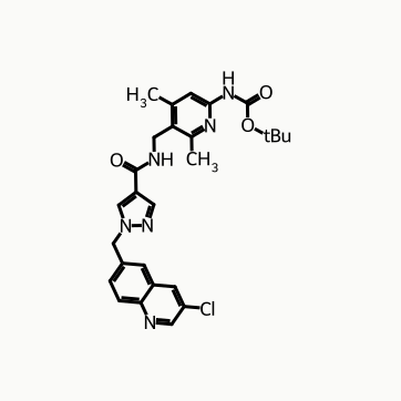 Cc1cc(NC(=O)OC(C)(C)C)nc(C)c1CNC(=O)c1cnn(Cc2ccc3ncc(Cl)cc3c2)c1